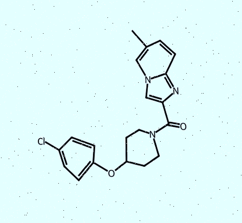 Cc1ccc2nc(C(=O)N3CCC(Oc4ccc(Cl)cc4)CC3)cn2c1